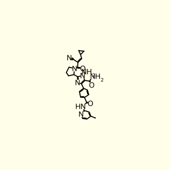 Cc1ccnc(NC(=O)c2ccc(-c3nc(C4CCCN4C(=O)/C(C#N)=C/C4CC4)n(N)c3C(N)=O)cc2)c1